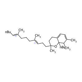 CCCC/C=C(\C)CCC/C(C)=C/CCC1(C)CCC2=CC=C(C)C(C)C2(CCCC)O1